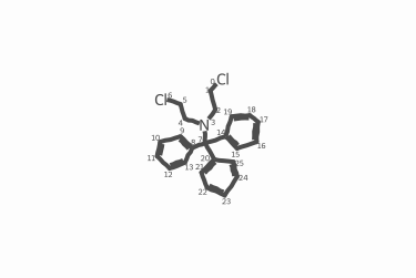 ClCCN(CCCl)C(c1ccccc1)(c1ccccc1)c1ccccc1